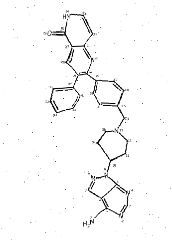 Nc1ncnc2c1cnn2C1CCN(Cc2ccc(-c3nc4cc[nH]c(=O)c4cc3-c3ccccc3)cc2)CC1